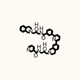 O=C(NCC(O)CN1CCc2ccc(-c3cccc(-c4cccc(C(=O)NC[C@@H](O)CN5CCc6ccccc6C5)c4)n3)cc2C1)c1cccnc1